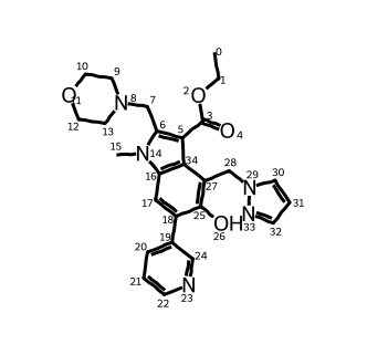 CCOC(=O)c1c(CN2CCOCC2)n(C)c2cc(-c3cccnc3)c(O)c(Cn3cccn3)c12